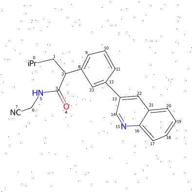 CC(C)CC(C(=O)NCC#N)c1cccc(-c2cnc3ccccc3c2)c1